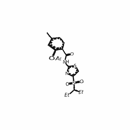 CCC(CC)S(=O)(=O)c1csc(NC(=O)c2ccc(C)cc2OC(C)=O)n1